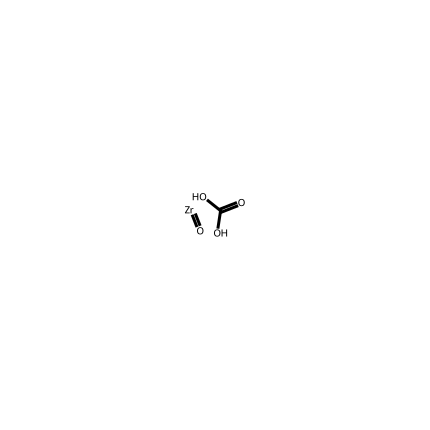 O=C(O)O.[O]=[Zr]